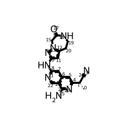 C[C@@H](C#N)c1cc2cc(Nc3cc4n(n3)CC(=O)NCC4)ncc2c(N)n1